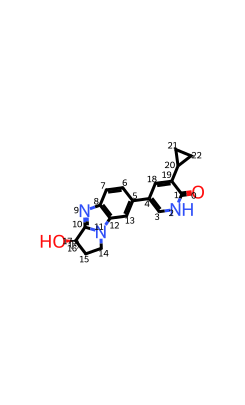 O=c1[nH]cc(-c2ccc3nc4n(c3c2)CC[C@H]4O)cc1C1CC1